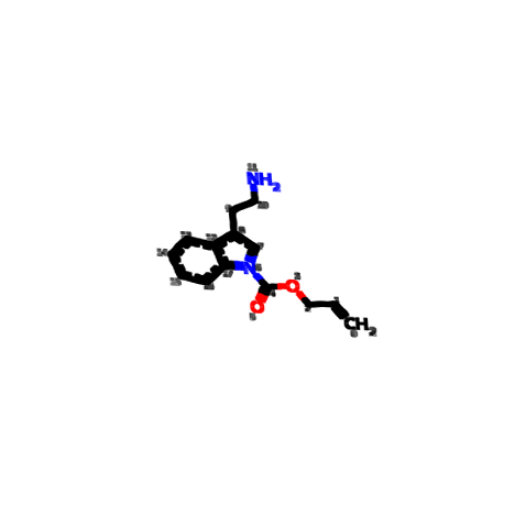 C=CCOC(=O)n1cc(CCN)c2ccccc21